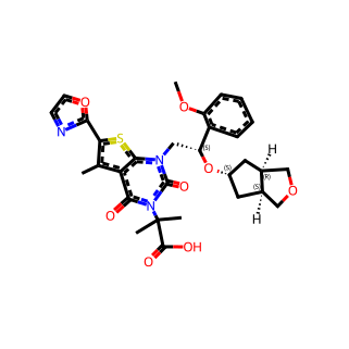 COc1ccccc1[C@@H](Cn1c(=O)n(C(C)(C)C(=O)O)c(=O)c2c(C)c(-c3ncco3)sc21)O[C@@H]1C[C@H]2COC[C@H]2C1